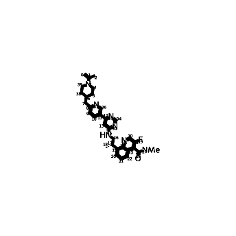 C=C(C)N1CCC(Cc2ccc(-c3cc(NC[C@@H](C)c4cccc5c(C(=O)NC)c(F)cnc45)ncn3)cn2)CC1